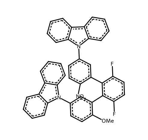 COc1ccc(-n2c3ccccc3c3ccccc32)cc1-c1c(F)ccc(F)c1-c1cc(-n2c3ccccc3c3ccccc32)ccc1[N+](=O)[O-]